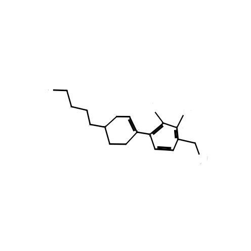 CCCCCC1CC=C(c2ccc(CC)c(F)c2F)CC1